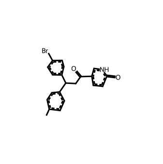 Cc1ccc(C(CC(=O)c2ccc(=O)[nH]c2)c2ccc(Br)cc2)cc1